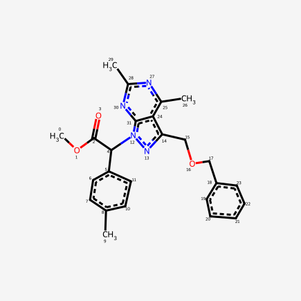 COC(=O)C(c1ccc(C)cc1)n1nc(COCc2ccccc2)c2c(C)nc(C)nc21